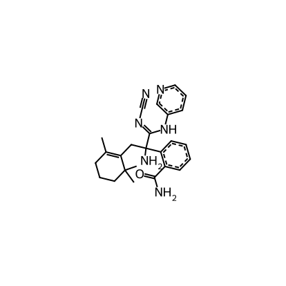 CC1=C(CC(N)(C(=NC#N)Nc2cccnc2)c2ccccc2C(N)=O)C(C)(C)CCC1